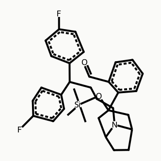 C[Si](C)(C)OC1(c2ccccc2C=O)CC2CCC(C1)N2CCCC(c1ccc(F)cc1)c1ccc(F)cc1